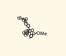 COCCOc1ccccc1-c1c(OS(=O)(=O)C(F)(F)F)nc(-c2ccc3c(c2)CCN(C(=O)OC(C)(C)C)C3)c2c1CCC2